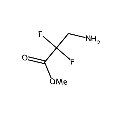 COC(=O)C(F)(F)CN